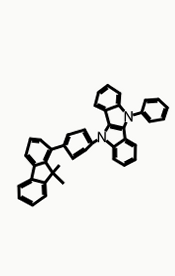 CC1(C)c2ccccc2-c2cccc(-c3ccc(-n4c5ccccc5c5c4c4ccccc4n5-c4ccccc4)cc3)c21